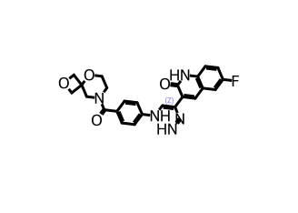 N=N/C(=C\Nc1ccc(C(=O)N2CCOC3(COC3)C2)cc1)c1cc2cc(F)ccc2[nH]c1=O